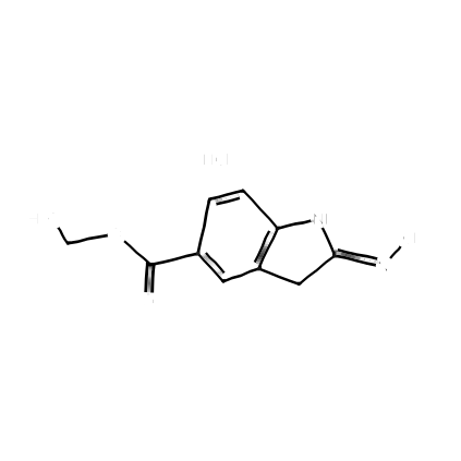 CCOC(=O)c1ccc2c(c1)C/C(=N/C)N2.Cl